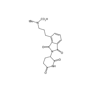 CC(C)(C)N(CCCc1cccc2c1C(=O)N(C1CCC(=O)NC1=O)C2=O)C(=O)O